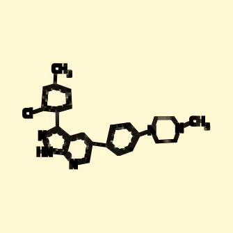 Cc1ccc(-c2n[nH]c3ncc(-c4ccc(N5CCN(C)CC5)cc4)cc23)c(Cl)c1